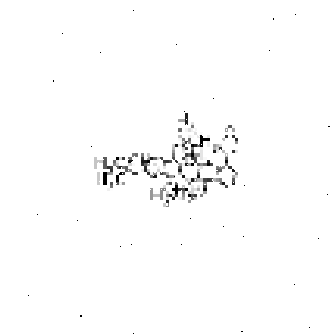 Cc1c2c(c(CC(C)(C)C)c3ccc(CC(C)(C)C)cc13)Oc1cc3c(C4CCOCC4)cccc3c3cc[n+](C)c-2c13